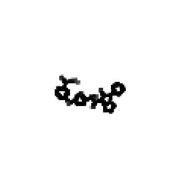 NC(=O)c1cc(Oc2ccc(NC(=O)c3c4n(n(-c5ccccc5)c3=O)CCC4)nc2)ccn1